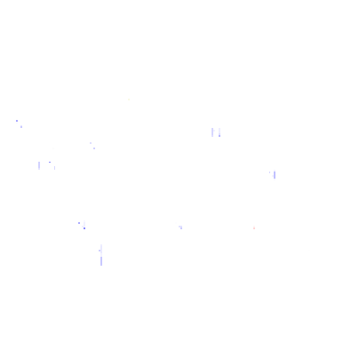 O=C(Cc1ccccc1)Nc1cncc(-c2cc3c(-c4nc5c(-c6ccc(F)s6)ccnc5[nH]4)n[nH]c3cn2)c1